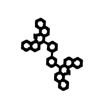 c1cc(-c2cccc(-c3c4ccc5ccccc5c4nc4c3ccc3ccccc34)c2)cc(-c2c3ccc4ccccc4c3nc3c2ccc2ccccc23)c1